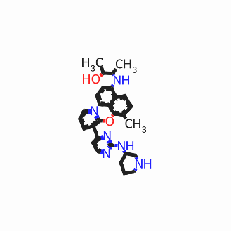 Cc1ccc2c(NC(C)C(C)O)cccc2c1Oc1ncccc1-c1ccnc(NC2CCCNC2)n1